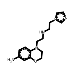 Nc1ccc2c(c1)OCCN2CCNCCn1ccnc1